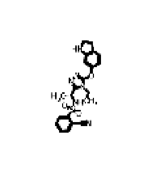 CCn1c(Oc2ccc3c(c2)NCC3)nnc1[C@@H](C)NS(=O)(=O)c1ccccc1C#N